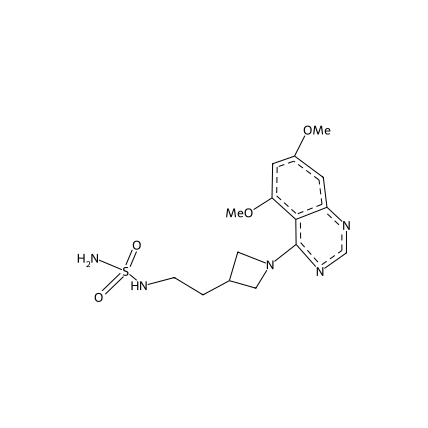 COc1cc(OC)c2c(N3CC(CCNS(N)(=O)=O)C3)ncnc2c1